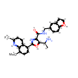 COc1ccc(-c2nc(C(=O)NCc3ccc4occc4c3)c([C@H](C)N)o2)c2ccc(C(F)(F)F)nc12